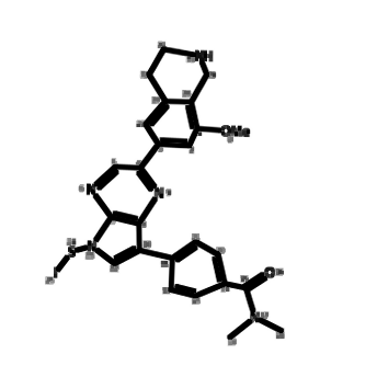 COc1cc(-c2cnc3c(n2)c(-c2ccc(C(=O)N(C)C)cc2)cn3SI)cc2c1CNCC2